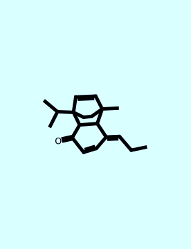 CCC=C1C=CC(=O)C2C1C1(C)C=CC2(C(C)C)CC1